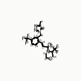 Cc1nnn(Cc2cc(C(F)(F)F)ccc2C=CC(=O)N2CCOCC2C(F)(F)F)n1